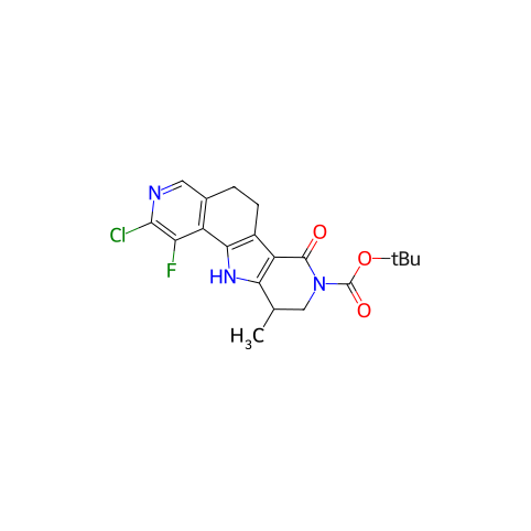 CC1CN(C(=O)OC(C)(C)C)C(=O)c2c1[nH]c1c2CCc2cnc(Cl)c(F)c2-1